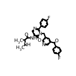 CNC(C)C(=O)Nc1cnc(-c2ccc(F)cc2)n(Cc2cncc(C(=O)c3ccc(F)cc3)c2)c1=O